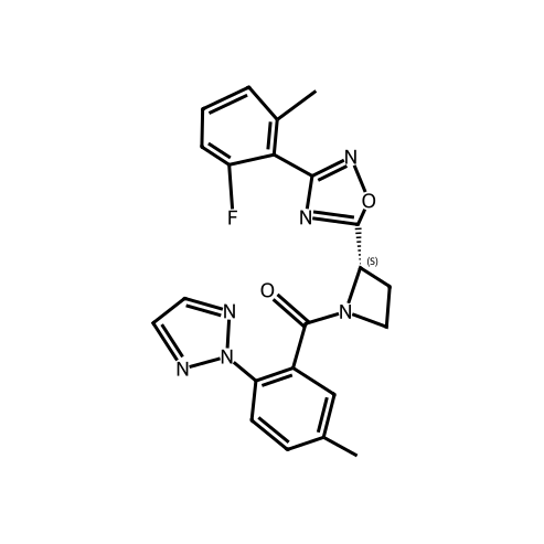 Cc1ccc(-n2nccn2)c(C(=O)N2CC[C@H]2c2nc(-c3c(C)cccc3F)no2)c1